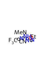 CCOc1ncccc1-c1ccc(C2(NCCNC)CCN(c3ccc(C(F)(F)F)cc3C#N)CC2)cn1